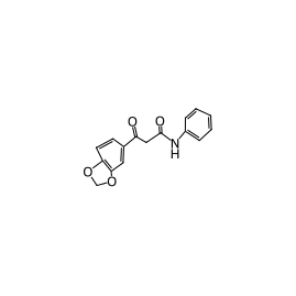 O=C(CC(=O)c1ccc2c(c1)OCO2)Nc1ccccc1